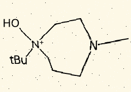 CN1CC[N+](O)(C(C)(C)C)CC1